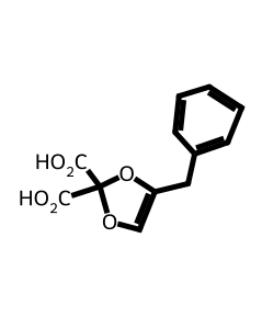 O=C(O)C1(C(=O)O)OC=C(Cc2ccccc2)O1